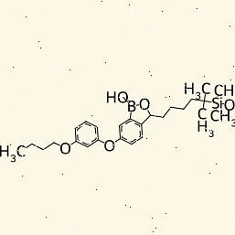 CCCCOc1cccc(Oc2ccc3c(c2)B(O)OC3CCCCC(C)(C)[Si](C)(C)O)c1